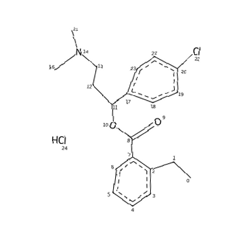 CCc1ccccc1C(=O)OC(CCN(C)C)c1ccc(Cl)cc1.Cl